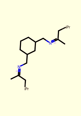 C/C(CC(C)C)=N/CC1CCCC(C/N=C(/C)CC(C)C)C1